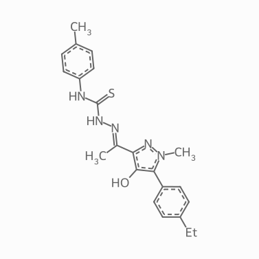 CCc1ccc(-c2c(O)c(/C(C)=N/NC(=S)Nc3ccc(C)cc3)nn2C)cc1